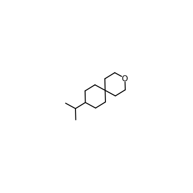 CC(C)C1CCC2(CCOCC2)CC1